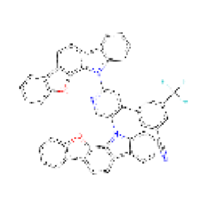 N#Cc1cc(-c2cc(-n3c4ccccc4c4ccc5c6ccccc6oc5c43)ncc2-n2c3ccccc3c3ccc4c5ccccc5oc4c32)cc(C(F)(F)F)c1